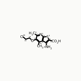 Cc1nc2sc(C(=O)O)c(N)c2c(C)c1OCCCl